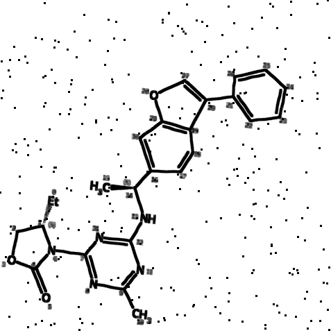 CC[C@H]1COC(=O)N1c1nc(C)nc(N[C@@H](C)c2ccc3c(-c4ccccc4)coc3c2)n1